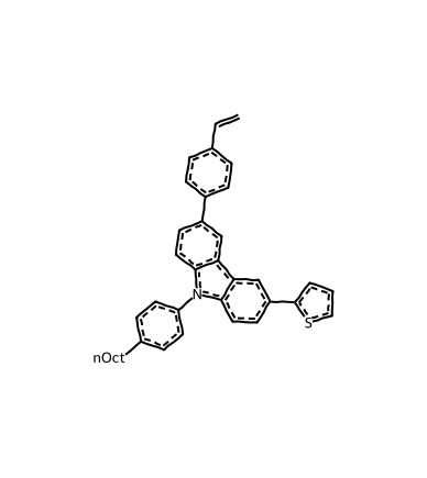 C=Cc1ccc(-c2ccc3c(c2)c2cc(-c4cccs4)ccc2n3-c2ccc(CCCCCCCC)cc2)cc1